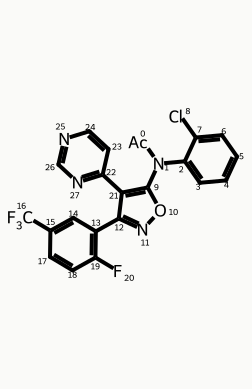 CC(=O)N(c1ccccc1Cl)c1onc(-c2cc(C(F)(F)F)ccc2F)c1-c1ccncn1